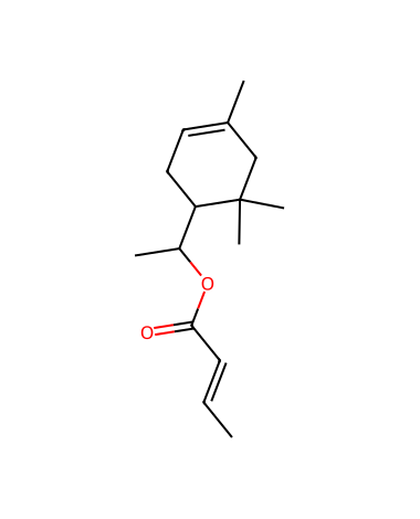 CC=CC(=O)OC(C)C1CC=C(C)CC1(C)C